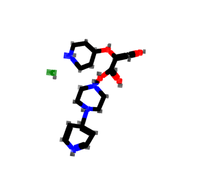 Cl.O=C=C(OC1CCNCC1)C(=O)ON1CCN(c2ccncc2)CC1